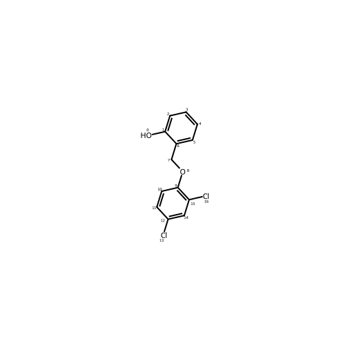 Oc1ccccc1COc1ccc(Cl)cc1Cl